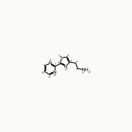 NCCc1csc(-c2ncccn2)n1